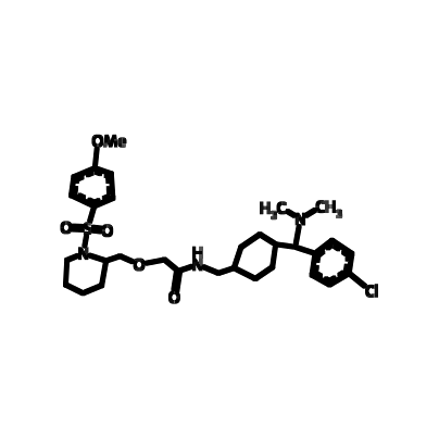 COc1ccc(S(=O)(=O)N2CCCCC2COCC(=O)NCC2CCC(C(c3ccc(Cl)cc3)N(C)C)CC2)cc1